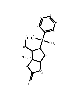 C[Si](C)(c1ccccc1)C1CC2OC(=O)C[C@H]2C1CO